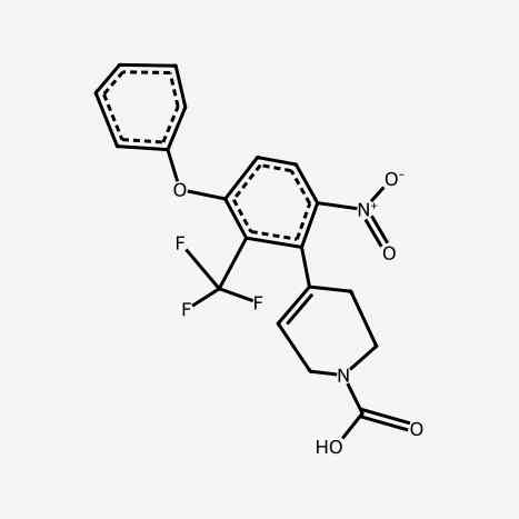 O=C(O)N1CC=C(c2c([N+](=O)[O-])ccc(Oc3ccccc3)c2C(F)(F)F)CC1